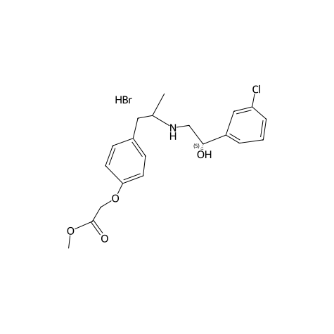 Br.COC(=O)COc1ccc(CC(C)NC[C@@H](O)c2cccc(Cl)c2)cc1